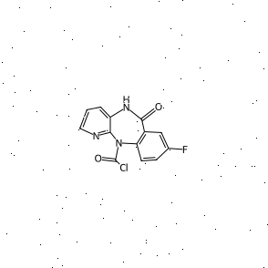 O=C1Nc2cccnc2N(C(=O)Cl)c2ccc(F)cc21